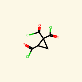 O=C(Cl)C1CC1(C(=O)Cl)C(=O)Cl